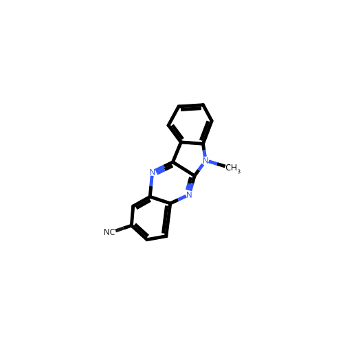 Cn1c2ccccc2c2nc3cc(C#N)ccc3nc21